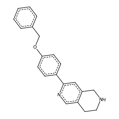 c1ccc(COc2ccc(-c3cc4c(cn3)CCNC4)cc2)cc1